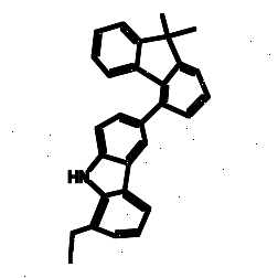 CC1(C)c2ccccc2-c2c(-c3ccc4[nH]c5c(CI)cccc5c4c3)cccc21